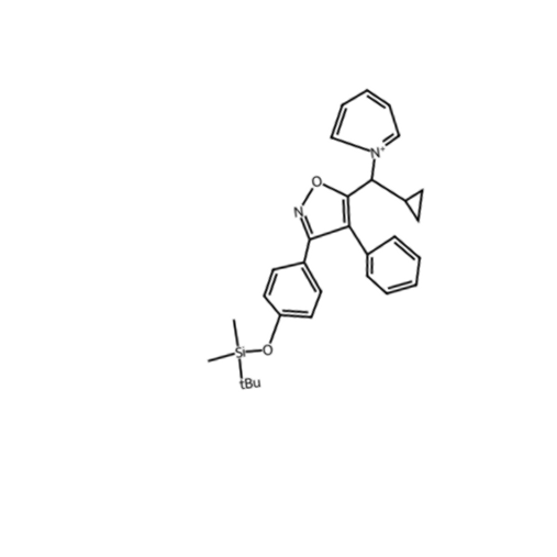 CC(C)(C)[Si](C)(C)Oc1ccc(-c2noc(C(C3CC3)[n+]3ccccc3)c2-c2ccccc2)cc1